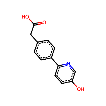 O=C(O)Cc1ccc(-c2ccc(O)cn2)cc1